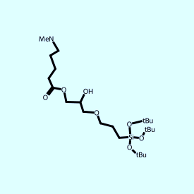 CNCCCCC(=O)OCC(O)COCCC[Si](OC(C)(C)C)(OC(C)(C)C)OC(C)(C)C